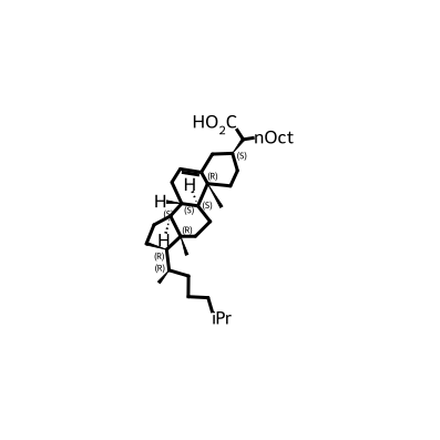 CCCCCCCCC(C(=O)O)[C@H]1CC[C@@]2(C)C(=CC[C@H]3[C@@H]4CC[C@H]([C@H](C)CCCC(C)C)[C@@]4(C)CC[C@@H]32)C1